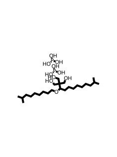 CC(C)CCCCCCCOC(CCCCCCCC(C)C)C(CO)(CO)CO.OP(O)O.OP(O)O